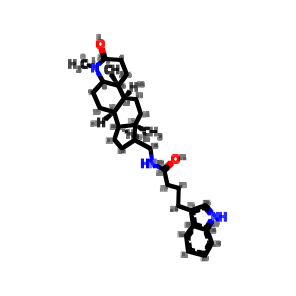 CN1C(=O)CC[C@@]2(C)C1CC[C@@H]1[C@H]2CC[C@]2(C)C(CNC(=O)CCCc3c[nH]c4ccccc34)CC[C@@H]12